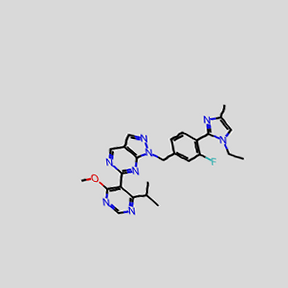 CCn1cc(C)nc1-c1ccc(Cn2ncc3cnc(-c4c(OC)ncnc4C(C)C)nc32)cc1F